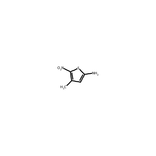 Cc1cc(N)sc1[N+](=O)[O-]